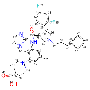 Cc1ccc(Cn2ccnc2NC(=O)[C@@H]2CN(CCCc3ccccc3)C[C@H]2c2ccc(F)cc2F)c(N2CCC(C(=O)O)CC2)c1